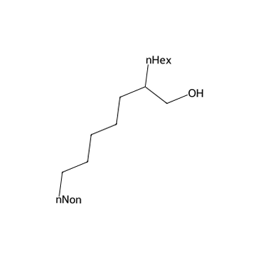 CCCCCCCCCCCCCCC(CO)CCCCCC